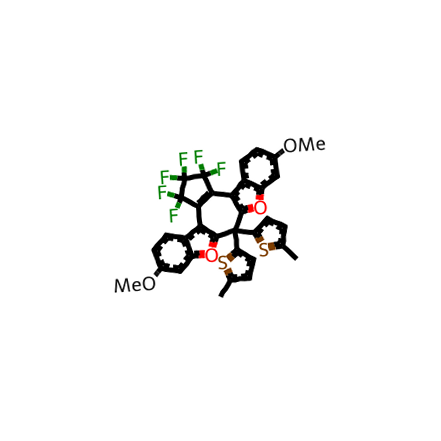 COc1ccc2c3c(oc2c1)C(c1ccc(C)s1)(c1ccc(C)s1)c1oc2cc(OC)ccc2c1C1=C3C(F)(F)C(F)(F)C1(F)F